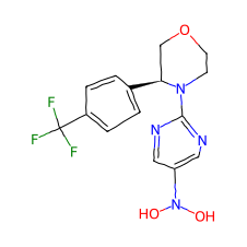 ON(O)c1cnc(N2CCOC[C@@H]2c2ccc(C(F)(F)F)cc2)nc1